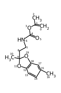 C=C(C)OC(=O)NCCC1(C)Oc2ccc(C)cc2O1